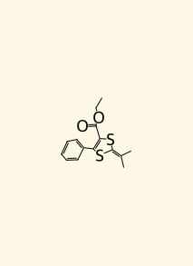 CCOC(=O)C1=C(c2ccccc2)SC(=C(C)C)S1